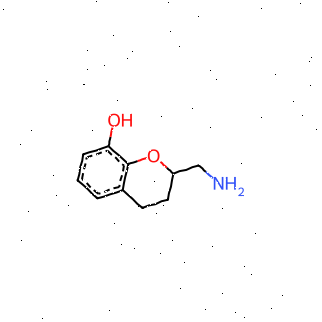 NCC1CCc2cccc(O)c2O1